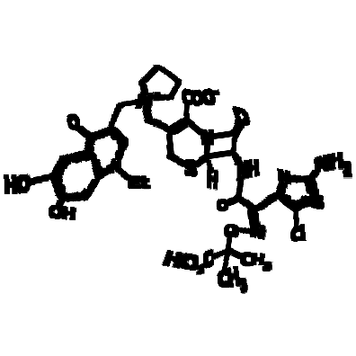 CCn1cc(C[N+]2(CC3=C(C(=O)[O-])N4C(=O)[C@@H](NC(=O)/C(=N\OC(C)(C)C(=O)O)c5nc(N)sc5Cl)[C@H]4SC3)CCCC2)c(=O)c2cc(O)c(O)cc21